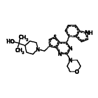 CC(C)(O)C1CCN(Cc2csc3c(-c4cccc5[nH]ccc45)nc(N4CCOCC4)nc23)CC1